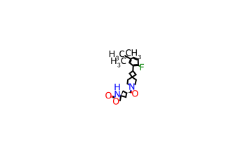 CC(C)(C)c1ccc(F)c(C2CC3(CCN(C(=O)[C@H]4C[C@]5(COC(=O)N5)C4)CC3)C2)c1